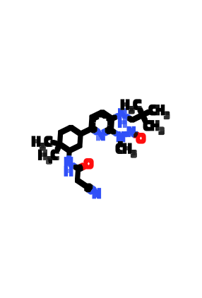 CN(N=O)c1nc(C2CCC(C)(C)C(NC(=O)CC#N)C2)ccc1NCC(C)(C)C